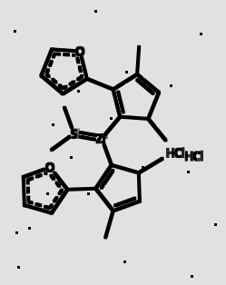 CC1=CC(C)[C]([Zr]([C]2=C(c3ccco3)C(C)=CC2C)=[Si](C)C)=C1c1ccco1.Cl.Cl